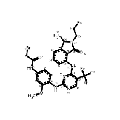 COc1cc(NC(=O)CBr)ccc1Nc1ncc(C(F)(F)F)c(Nc2cccc3c2C(=O)N(CCF)C3C)n1